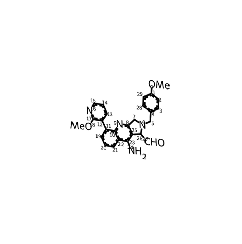 COc1ccc(CN2Cc3nc4c(-c5cccnc5OC)cccc4c(N)c3C2C=O)cc1